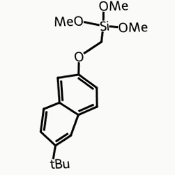 CO[Si](COc1ccc2cc(C(C)(C)C)ccc2c1)(OC)OC